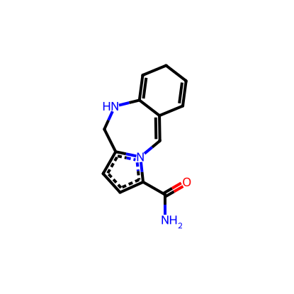 NC(=O)c1ccc2n1C=C1C=CCC=C1NC2